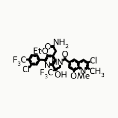 CCOc1c(CC(N)=O)cc([C@@](O)(CNC(=O)c2cc(OC)c3nc(C)c(Cl)cc3c2)C(F)(F)F)nc1-c1ccc(C(F)(F)F)c(Cl)c1